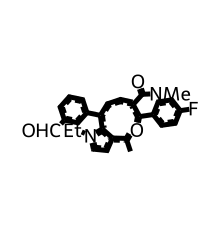 CCn1ccc2c(C)oc(-c3ccc(F)cc3)c(C(=O)NC)ccc(-c3cccc(C=O)c3)c21